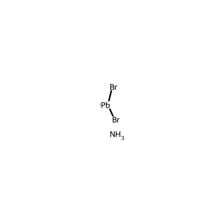 N.[Br][Pb][Br]